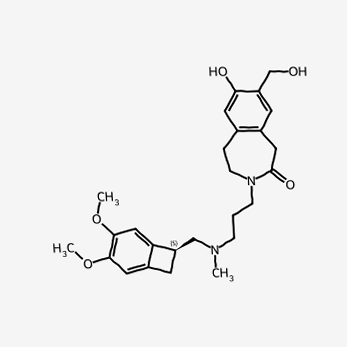 COc1cc2c(cc1OC)[C@@H](CN(C)CCCN1CCc3cc(O)c(CO)cc3CC1=O)C2